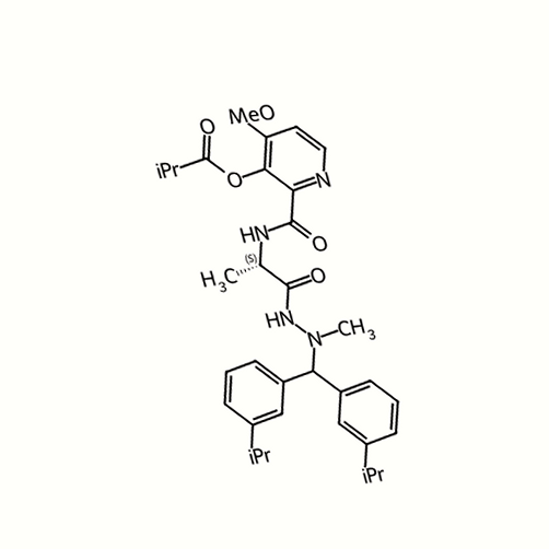 COc1ccnc(C(=O)N[C@@H](C)C(=O)NN(C)C(c2cccc(C(C)C)c2)c2cccc(C(C)C)c2)c1OC(=O)C(C)C